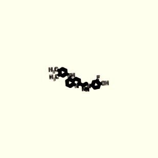 Cc1ccc(Nc2cccc3nc(-c4cn(-c5ccc(O)c(F)c5)nn4)ccc23)cc1C